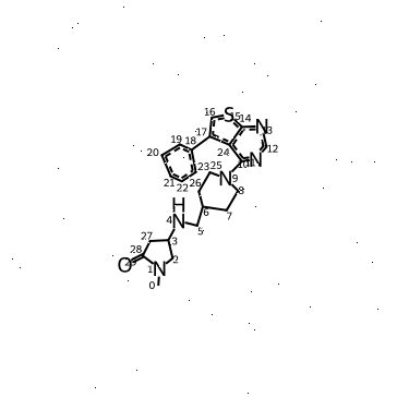 CN1CC(NCC2CCN(c3ncnc4scc(-c5ccccc5)c34)CC2)CC1=O